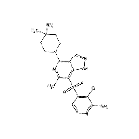 Cc1nc(N2CCC(C)(N)CC2)c2cn[nH]c2c1S(=O)(=O)c1ccnc(N)c1Cl